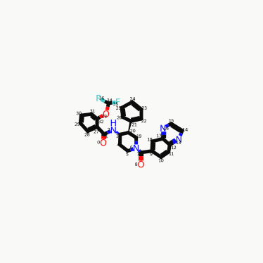 O=C(N[C@@H]1CCN(C(=O)c2ccc3nccnc3c2)C[C@@H]1c1ccccc1)c1ccccc1OC(F)F